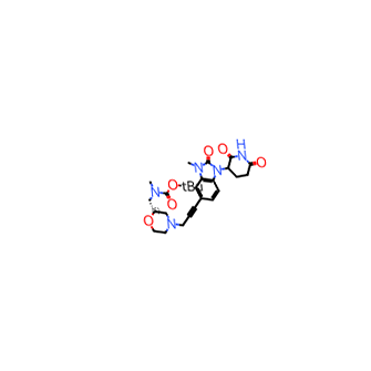 CN(C[C@@H]1CN(CC#Cc2ccc3c(c2)n(C)c(=O)n3C2CCC(=O)NC2=O)CCO1)C(=O)OC(C)(C)C